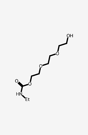 CCNC(=O)OCCOCCOCCO